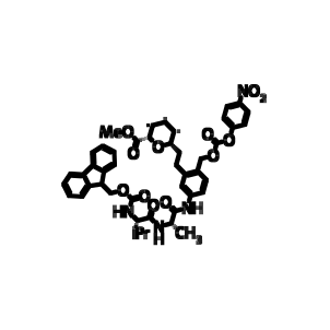 COC(=O)[C@@H]1[CH][CH][CH][C@@H](CCc2cc(NC(=O)[C@H](C)NC(=O)[C@@H](NC(=O)OCC3c4ccccc4-c4ccccc43)C(C)C)ccc2COC(=O)Oc2ccc([N+](=O)[O-])cc2)O1